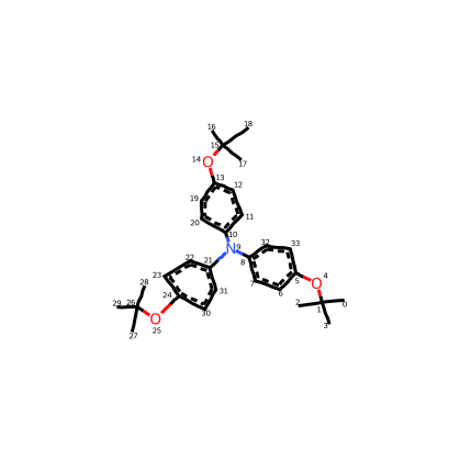 CC(C)(C)Oc1ccc(N(c2ccc(OC(C)(C)C)cc2)c2ccc(OC(C)(C)C)cc2)cc1